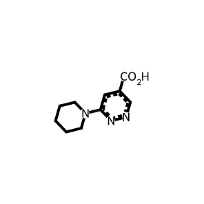 O=C(O)c1cnnc(N2CCCCC2)c1